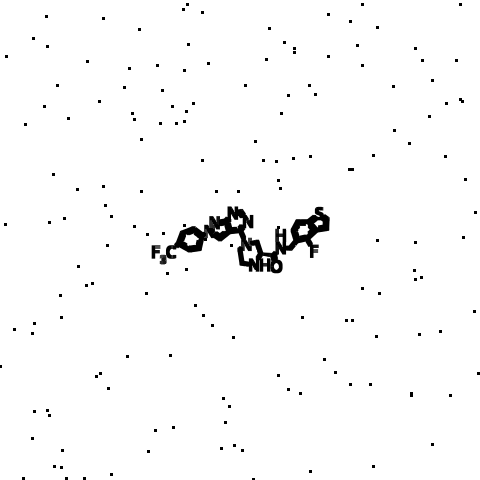 O=C(NCc1ccc2sccc2c1F)[C@@H]1CN(c2ncnc3nn(-c4ccc(C(F)(F)F)cc4)cc23)CCN1